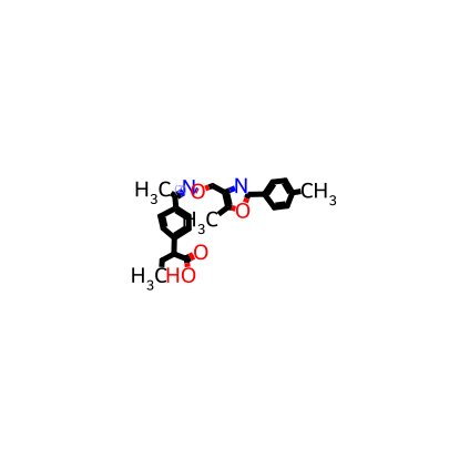 CCC(C(=O)O)c1ccc(/C(C)=N\OCc2nc(-c3ccc(C)cc3)oc2C)cc1